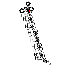 CC[Si](CC)(O[SiH2]O[SiH2]O[SiH2]O[SiH2]O[SiH2]O[SiH2]O[SiH2]O[SiH2]O[SiH2]O[SiH2]O[SiH2]O[SiH2]O[SiH2]O[SiH3])O[Si](Cc1ccccc1)(c1ccccc1)c1ccccc1